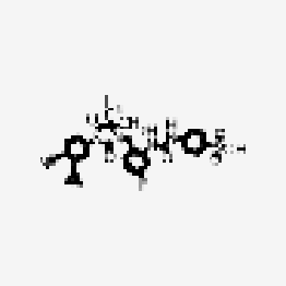 CC1(C)C(=O)N(c2ccc(C#N)c(C3CC3)c2)C(=O)N1Cc1ccc(F)cc1NC(=O)Nc1ccc(S(=O)(=O)O)cc1